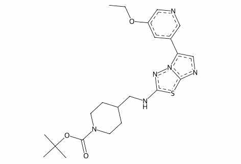 CCOc1cncc(-c2cnc3sc(NCC4CCN(C(=O)OC(C)(C)C)CC4)nn23)c1